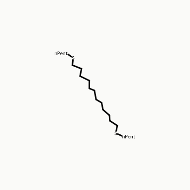 CCCCCSCCCCCCCCCCCCSCCCCC